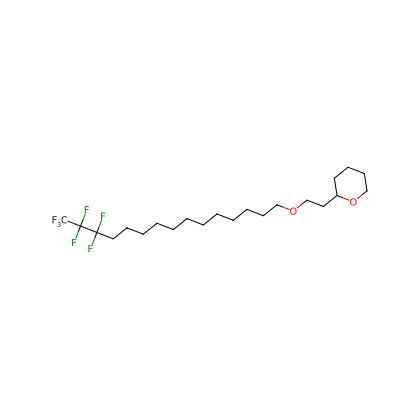 FC(F)(F)C(F)(F)C(F)(F)CCCCCCCCCCCCOCCC1CCCCO1